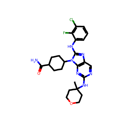 CC1(Nc2ncc3nc(Nc4cccc(Cl)c4F)n(C4CCC(C(N)=O)CC4)c3n2)CCOCC1